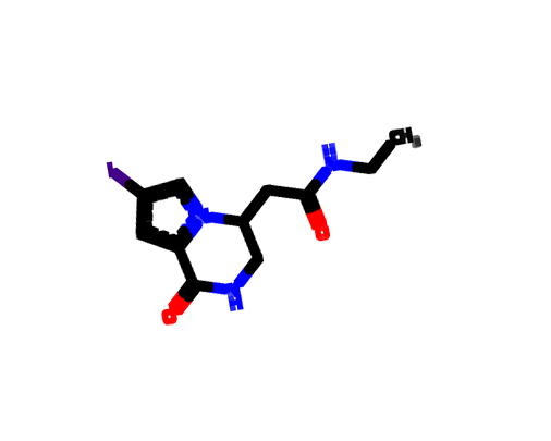 CCNC(=O)CC1CNC(=O)c2cc(I)cn21